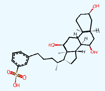 C[C@H](CCCc1[c]ccc(S(=O)(=O)O)c1)[C@H]1CC[C@H]2[C@@H]3[C@H](O)C[C@@H]4C[C@H](O)CC[C@]4(C)[C@H]3C[C@H](O)[C@]12C